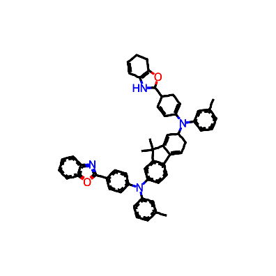 Cc1cccc(N(c2ccc(-c3nc4ccccc4o3)cc2)c2ccc3c(c2)C(C)(C)C2=CC(N(C4=CCC(C5NC6=C(CCC=C6)O5)C=C4)c4cccc(C)c4)CC=C23)c1